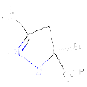 CC[C@@]1(C(=O)O)CC(C(F)(F)F)=NN1